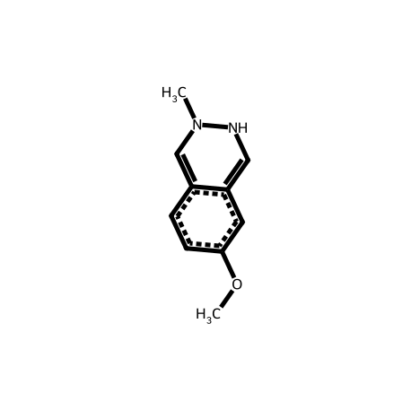 COc1ccc2c(c1)=CNN(C)C=2